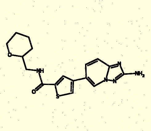 Nc1nc2ccc(-c3csc(C(=O)NCC4CCCCO4)c3)cn2n1